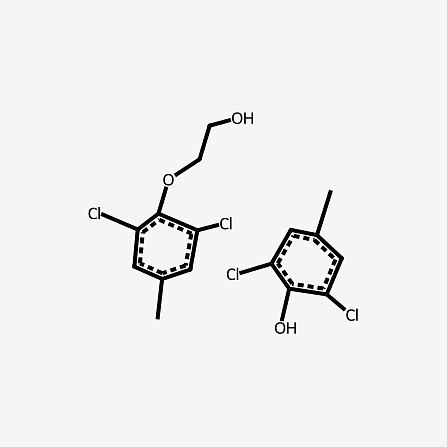 Cc1cc(Cl)c(O)c(Cl)c1.Cc1cc(Cl)c(OCCO)c(Cl)c1